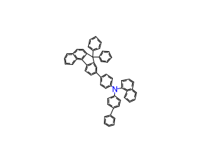 c1ccc(-c2ccc(N(c3ccc(-c4ccc5c(c4)C(c4ccccc4)(c4ccccc4)c4ccc6ccccc6c4-5)cc3)c3cccc4ccccc34)cc2)cc1